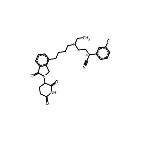 CCN(CCCCc1cccc2c1CN(C1CCC(=O)NC1=O)C2=O)CC[C@H](C#N)c1cccc(Cl)c1